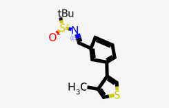 Cc1cscc1-c1cccc(/C=N/[S+]([O-])C(C)(C)C)c1